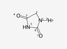 [2H]N1CC(=O)NC1=O